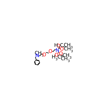 CN(CCOCCOCCN(C(=O)OC(C)(C)C)C(=O)OC(C)(C)C)Cc1ccccc1